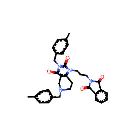 Cc1ccc(CN2CCc3c(c(=O)n(Cc4ccc(C)cc4)c(=O)n3CCCN3C(=O)c4ccccc4C3=O)C2)cc1